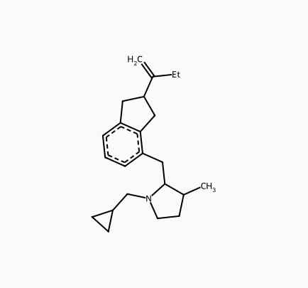 C=C(CC)C1Cc2cccc(CC3C(C)CCN3CC3CC3)c2C1